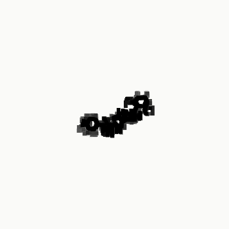 Fc1cccc(Cl)c1-c1ncc(-c2ccc(-c3noc(C4CCC5(CC4)CC5)n3)nc2)[nH]1